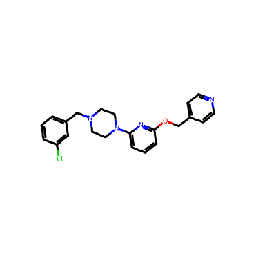 Clc1cccc(CN2CCN(c3cccc(OCc4ccncc4)n3)CC2)c1